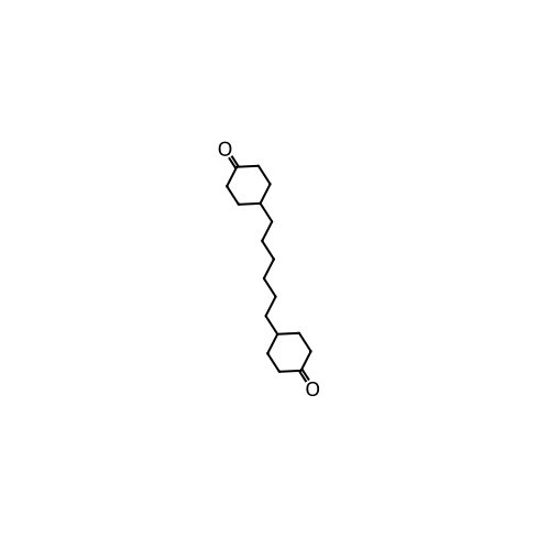 O=C1CCC(CCCCCCC2CCC(=O)CC2)CC1